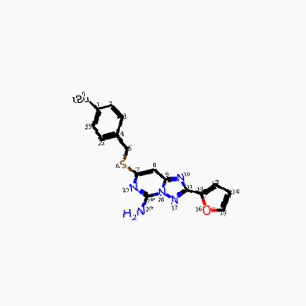 CC(C)(C)c1ccc(CSc2cc3nc(-c4ccco4)nn3c(N)n2)cc1